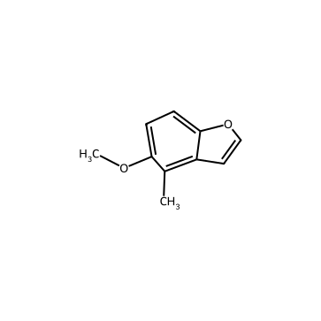 COc1ccc2occc2c1C